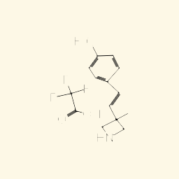 CC1(C=Cc2ccc(C(F)(F)F)cc2)CNC1.O=C(O)C(F)(F)F